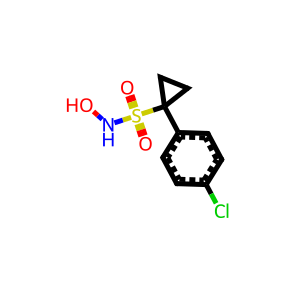 O=S(=O)(NO)C1(c2ccc(Cl)cc2)CC1